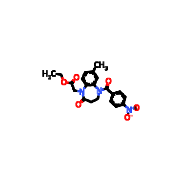 CCOC(=O)CN1C(=O)CCN(C(=O)c2ccc([N+](=O)[O-])cc2)c2cc(C)ccc21